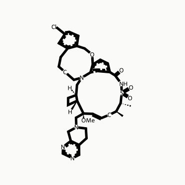 CO[C@@]1(CN2CCc3cncnc3C2)/C=C/C[C@H](C)[C@@H](C)S(=O)(=O)NC(=O)c2ccc3c(c2)N(CCCCc2cc(Cl)ccc2CO3)C[C@@H]2CC[C@H]21